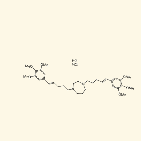 COc1cc(/C=C/CCCN2CCCN(CCC/C=C/c3cc(OC)c(OC)c(OC)c3)CC2)cc(OC)c1OC.Cl.Cl